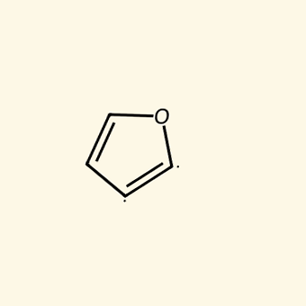 [c]1[c]occ1